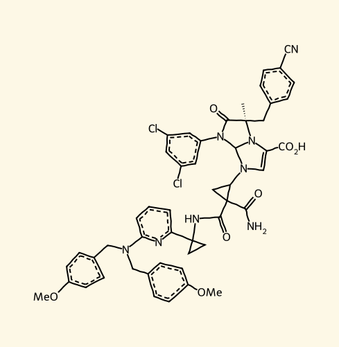 COc1ccc(CN(Cc2ccc(OC)cc2)c2cccc(C3(NC(=O)C4(C(N)=O)CC4N4C=C(C(=O)O)N5C4N(c4cc(Cl)cc(Cl)c4)C(=O)[C@@]5(C)Cc4ccc(C#N)cc4)CC3)n2)cc1